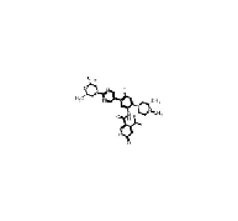 C[C@@H]1CN(c2ncc(-c3cc(NC(=O)c4c[nH]c(=O)cc4C(F)F)c(N4CCN(C)[C@@H](C)C4)cc3F)cn2)C[C@H](C)O1